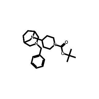 CC(C)(C)OC(=O)N1CCC(N2CC3CCC2CN(Cc2ccccc2)C3)CC1